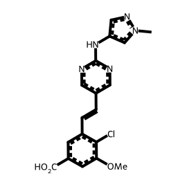 COc1cc(C(=O)O)cc(/C=C/c2cnc(Nc3cnn(C)c3)nc2)c1Cl